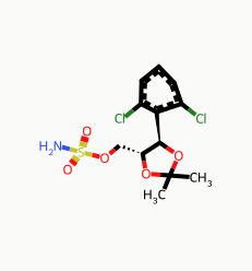 CC1(C)O[C@H](c2c(Cl)cccc2Cl)[C@@H](COS(N)(=O)=O)O1